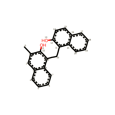 Cc1cc2ccccc2c(Cc2c(O)ccc3ccccc23)c1O